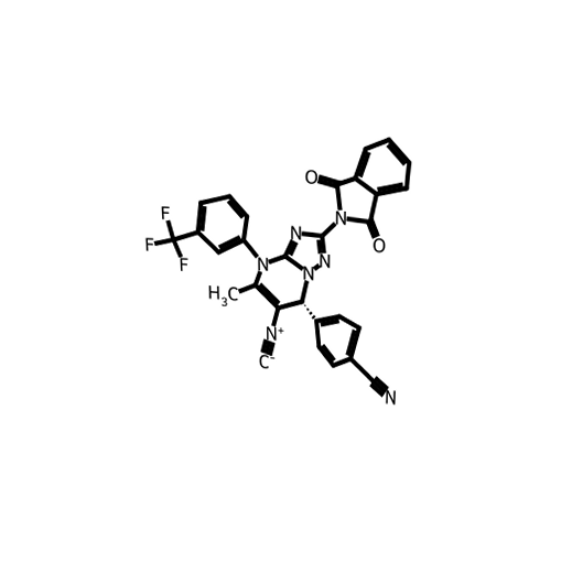 [C-]#[N+]C1=C(C)N(c2cccc(C(F)(F)F)c2)c2nc(N3C(=O)c4ccccc4C3=O)nn2[C@@H]1c1ccc(C#N)cc1